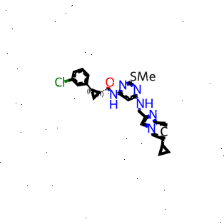 CSc1nc(NCc2cn3cc(C4CC4)ccc3n2)cc(NC(=O)[C@@H]2C[C@H]2c2cccc(Cl)c2)n1